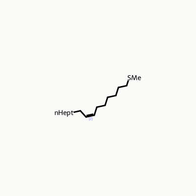 [CH2]SCCCCCC/C=C\CCCCCCCC